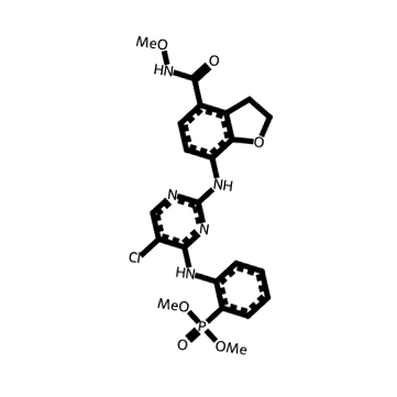 CONC(=O)c1ccc(Nc2ncc(Cl)c(Nc3ccccc3P(=O)(OC)OC)n2)c2c1CCO2